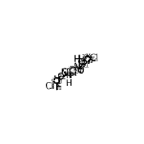 O=C(COc1ccc(Cl)c(F)c1)NC1CCC(NC(=O)C2Cc3cc(Cl)ccc3O2)CC1